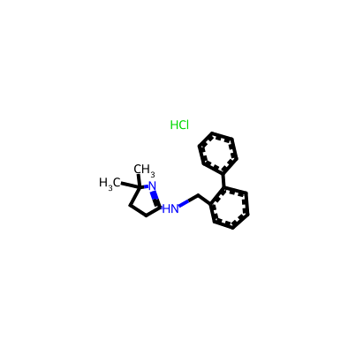 CC1(C)CCC(NCc2ccccc2-c2ccccc2)=N1.Cl